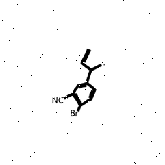 [CH2]C(C=C)c1ccc(Br)c(C#N)c1